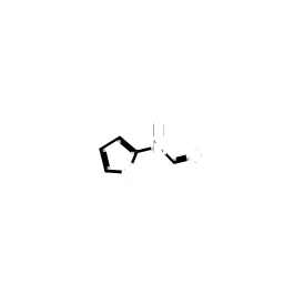 O=CNc1[c]ccs1